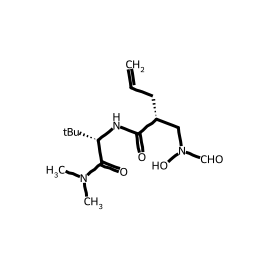 C=CC[C@H](CN(O)C=O)C(=O)N[C@H](C(=O)N(C)C)C(C)(C)C